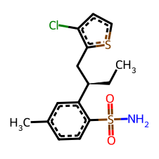 CC[C@H](Cc1sccc1Cl)c1cc(C)ccc1S(N)(=O)=O